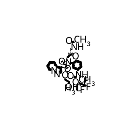 CC(=O)NC[C@H]1CN(S(=O)(=O)c2c(OCCO)nn3ccccc23)c2cc(NC(=O)OC(C)(C)C(F)(F)F)ccc2O1